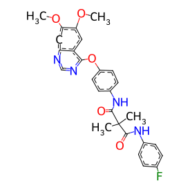 COc1cc2ncnc(Oc3ccc(NC(=O)C(C)(C)C(=O)Nc4ccc(F)cc4)cc3)c2cc1OC